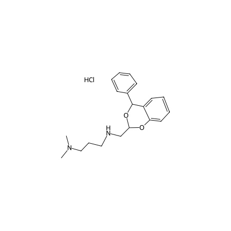 CN(C)CCCNCC1Oc2ccccc2C(c2ccccc2)O1.Cl